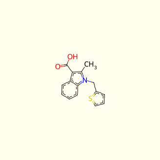 Cc1c(C(=O)O)c2ccccc2n1Cc1cccs1